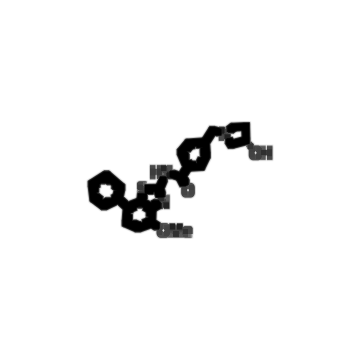 COc1ccc(-c2ccccc2)c2sc(NC(=O)c3ccc(CN4CC[C@H](O)C4)cc3)nc12